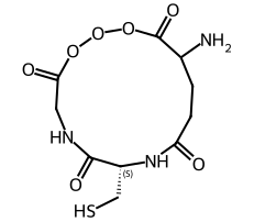 NC1CCC(=O)N[C@H](CS)C(=O)NCC(=O)OOOC1=O